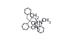 C=C(/C=C1\Sc2ccccc2N1C)C(C)(Cc1ccccc1)c1ccccc1C